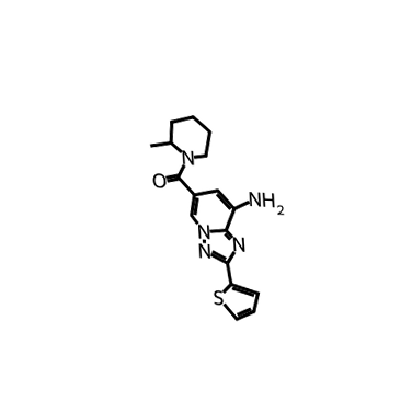 CC1CCCCN1C(=O)c1cc(N)c2nc(-c3cccs3)nn2c1